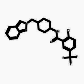 O=C(NC1CCC(Cn2cc3ccccc3n2)CC1)c1cc(C(F)(F)F)ccc1Cl